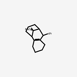 CCCC1C2=C(CCCC2)C2CCCC1[C@]2(C)SC